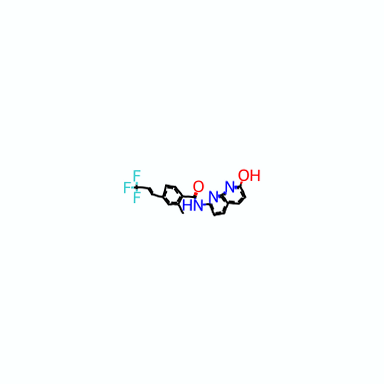 Cc1cc(C=CC(F)(F)F)ccc1C(=O)Nc1ccc2ccc(O)nc2n1